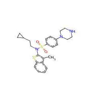 Cc1c(N(CCC2CC2)S(=O)(=O)c2ccc(N3CCNCC3)cc2)sc2ccccc12